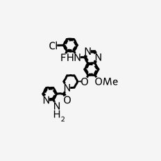 COc1cc2ncnc(Nc3cccc(Cl)c3F)c2cc1O[C@@H]1CCCN(C(=O)c2cccnc2N)C1